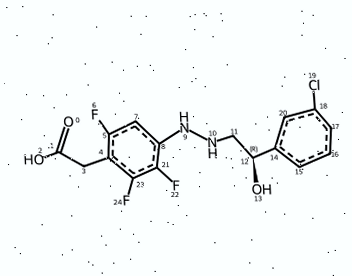 O=C(O)Cc1c(F)cc(NNC[C@H](O)c2cccc(Cl)c2)c(F)c1F